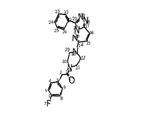 O=C(Cc1ccc(F)cc1)N1CCN(c2ccc3nnc(-c4ccccc4)n3n2)CC1